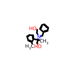 Cc1ccccc1C(C)(CO)N(CCO)Cc1ccccc1